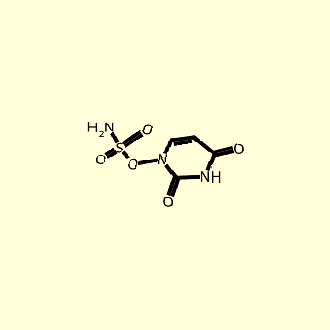 NS(=O)(=O)On1ccc(=O)[nH]c1=O